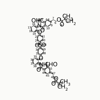 C=C(C)C(=O)OCCc1ccc(C(=O)Nc2ccccc2Oc2ccc(S(=O)(=O)c3ccc(Oc4ccccc4NC(=O)c4ccc(CCOC(=O)C(=C)C)cc4C=O)cc3)cc2)c(C=O)c1